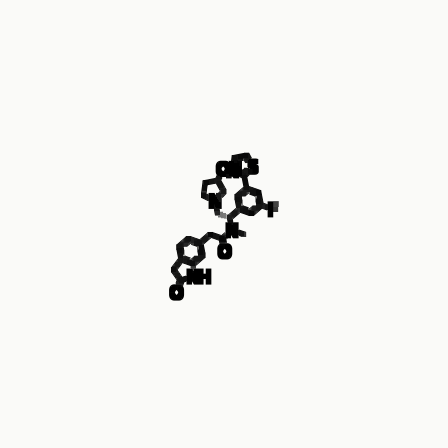 CN(C(=O)Cc1ccc2c(c1)NC(=O)C2)[C@H](CN1CCC(O)C1)c1cc(F)cc(-c2nccs2)c1